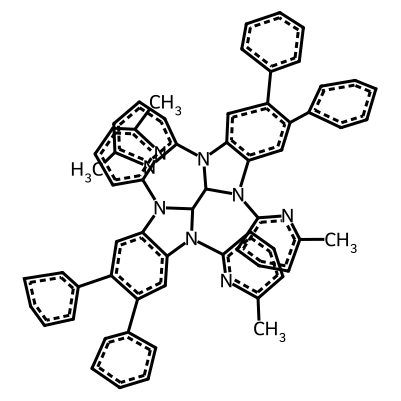 Cc1cccc(N2c3cc(-c4ccccc4)c(-c4ccccc4)cc3N(c3cccc(C)n3)C2C2N(c3cccc(C)n3)c3cc(-c4ccccc4)c(-c4ccccc4)cc3N2c2cccc(C)n2)n1